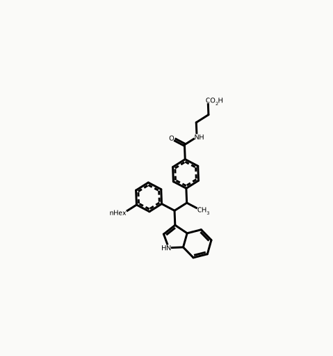 CCCCCCc1cccc(C(C2=CNC3C=CC=CC23)C(C)c2ccc(C(=O)NCCC(=O)O)cc2)c1